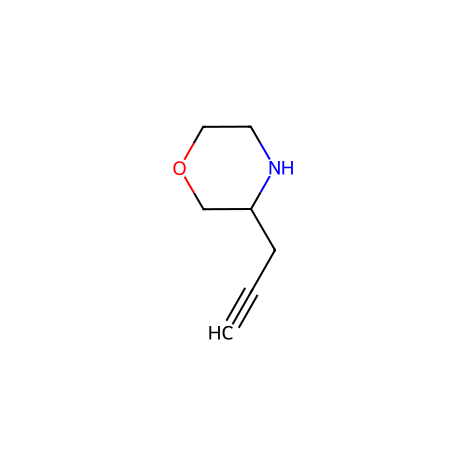 C#CCC1COCCN1